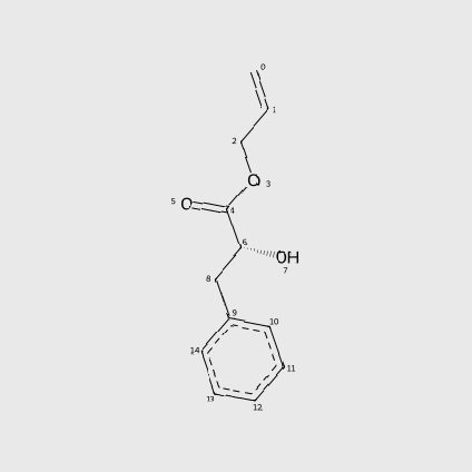 C=CCOC(=O)[C@H](O)Cc1ccccc1